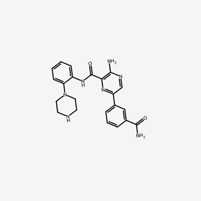 NC(=O)c1cccc(-c2cnc(N)c(C(=O)Nc3ccccc3N3CCNCC3)n2)c1